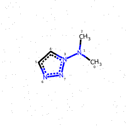 CN(C)n1ccnn1